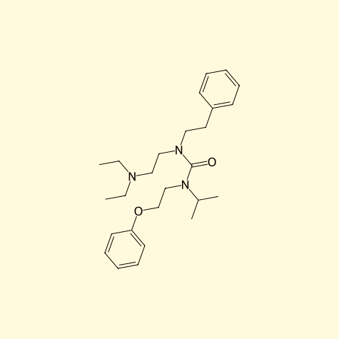 CCN(CC)CCN(CCc1ccccc1)C(=O)N(CCOc1ccccc1)C(C)C